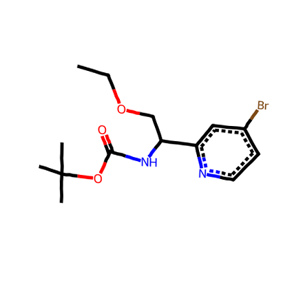 CCOCC(NC(=O)OC(C)(C)C)c1cc(Br)ccn1